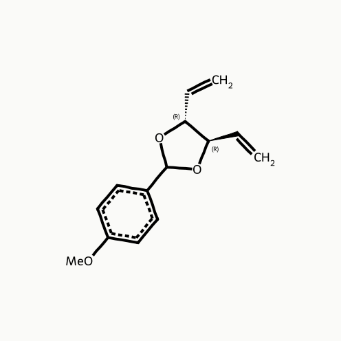 C=C[C@H]1OC(c2ccc(OC)cc2)O[C@@H]1C=C